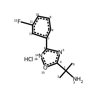 CC(C)(N)c1nc(-c2cccc(F)c2)no1.Cl